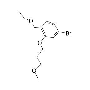 CCOCc1ccc(Br)cc1OCCCOC